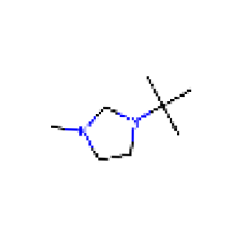 CN1CCN(C(C)(C)C)C1